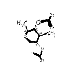 CCC(=O)O[C@@H]1[C@@H](C)[C@H](OC(=O)CC)CO[C@H]1C